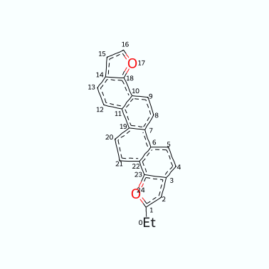 CCc1cc2ccc3c4ccc5c(ccc6ccoc65)c4ccc3c2o1